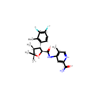 COc1c([C@@H]2[C@@H](C(=O)Nc3cc(C(N)=O)ncc3C)O[C@@](C)(C(F)(F)F)[C@H]2C)ccc(F)c1F